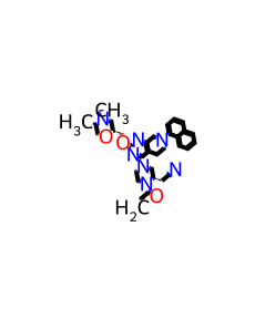 C=CC(=O)N1CCN(c2nc(OC[C@H]3CN(C)[C@H](C)CO3)nc3c2CCN(c2cccc4ccccc24)C3)C[C@@H]1CC#N